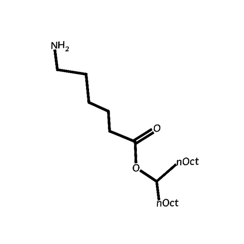 CCCCCCCCC(CCCCCCCC)OC(=O)CCCCCN